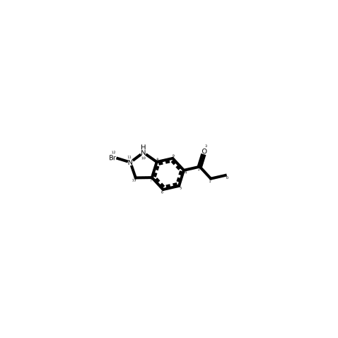 CCC(=O)c1ccc2c(c1)NN(Br)C2